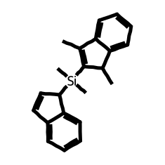 CC1=C([Si](C)(C)C2C=Cc3ccccc32)C(C)c2ccccc21